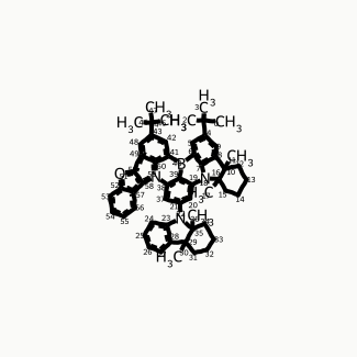 CC(C)(C)c1cc2c3c(c1)C1(C)CCCCC1(C)N3c1cc(N3c4ccccc4C4(C)CCCCC34C)cc3c1B2c1cc(C(C)(C)C)cc2c4oc5ccccc5c4n-3c12